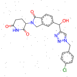 O=C1CCC(N2Cc3cc(C(O)c4cn(Cc5ccc(Cl)cc5)nn4)ccc3C2=O)C(=O)N1